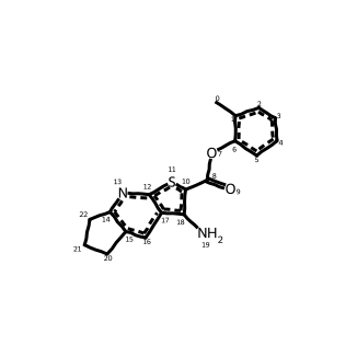 Cc1ccccc1OC(=O)c1sc2nc3c(cc2c1N)CCC3